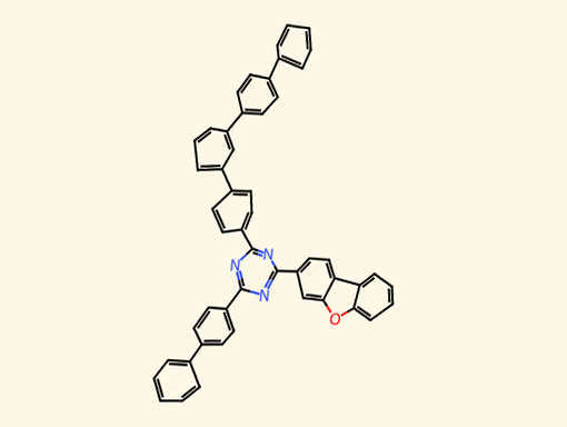 c1ccc(-c2ccc(-c3cccc(-c4ccc(-c5nc(-c6ccc(-c7ccccc7)cc6)nc(-c6ccc7c(c6)oc6ccccc67)n5)cc4)c3)cc2)cc1